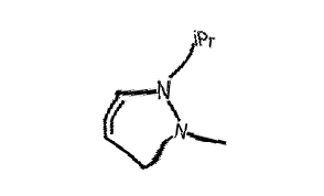 CC(C)N1C=CCN1C